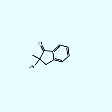 CC(C)C1(C)Cc2ccccc2C1=O